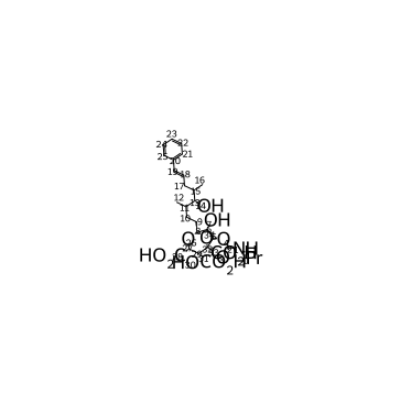 CC(C)NC(=O)O[C@@H]1[C@@H](O)[C@@]2(CCC(C)C(O)C(C)CC=Cc3ccccc3)O[C@H](C(=O)O)[C@@](O)(C(=O)O)[C@]1(C(=O)O)O2